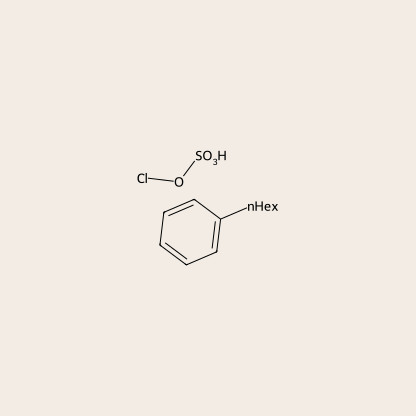 CCCCCCc1ccccc1.O=S(=O)(O)OCl